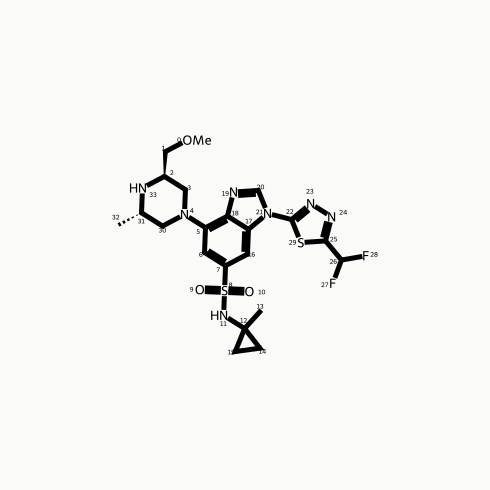 COC[C@H]1CN(c2cc(S(=O)(=O)NC3(C)CC3)cc3c2ncn3-c2nnc(C(F)F)s2)C[C@H](C)N1